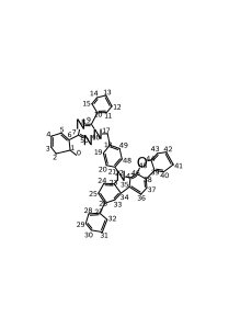 CC1CC=CC=C1c1nc(-c2ccccc2)n(Cc2ccc(-n3c4ccc(-c5ccccc5)cc4c4ccc5c6ccccc6oc5c43)cc2)n1